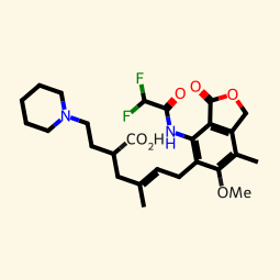 COc1c(C)c2c(c(NC(=O)C(F)F)c1C/C=C(\C)CC(CCN1CCCCC1)C(=O)O)C(=O)OC2